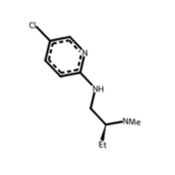 CC[C@@H](CNc1ccc(Cl)cn1)NC